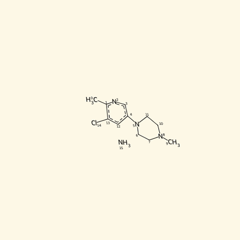 Cc1ncc(N2CCN(C)CC2)cc1Cl.N